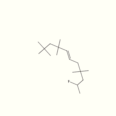 CC(F)CC(C)(C)CC=CC(C)(C)CC(C)(C)C